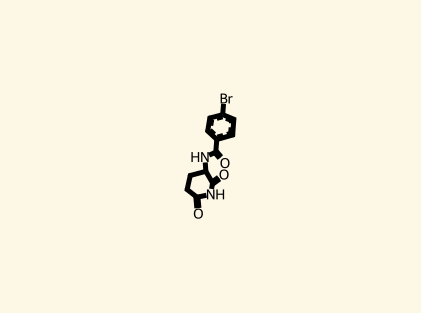 O=C1CCC(NC(=O)c2ccc(Br)cc2)C(=O)N1